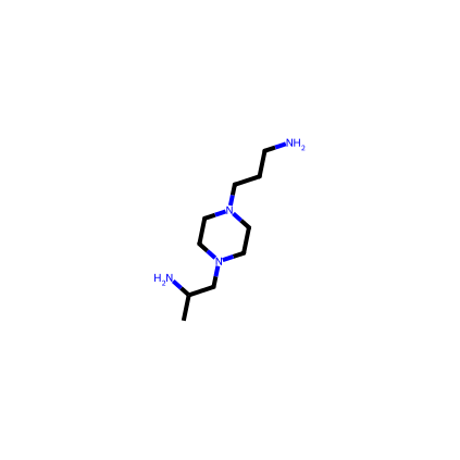 CC(N)CN1CCN(CCCN)CC1